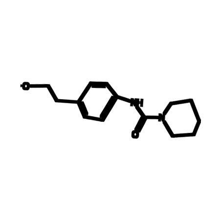 [O]CCc1ccc(NC(=O)N2CCCCC2)cc1